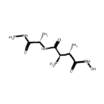 O=C(NP)[C@H](P)NC(=O)[C@H](P)[C@H](P)C(=O)NO